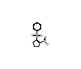 O=[N+]([O-])C1=C(S(=O)(=O)c2ccccc2)CCC1